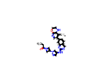 CCC(=O)N1CC(n2cc(Nc3ncc4ccc(-c5cnc6c(c5C)NCCO6)cc4n3)cn2)C1